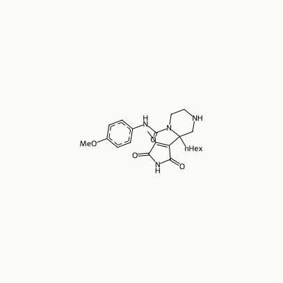 CCCCCCC1(C2=C(C)C(=O)NC2=O)CNCCN1C(=O)Nc1ccc(OC)cc1